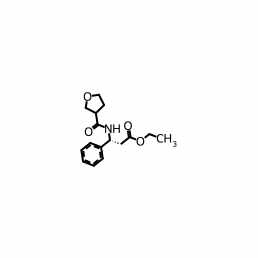 CCOC(=O)C[C@@H](NC(=O)C1CCOC1)c1ccccc1